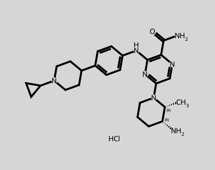 C[C@@H]1[C@H](N)CCCN1c1cnc(C(N)=O)c(Nc2ccc(C3CCN(C4CC4)CC3)cc2)n1.Cl